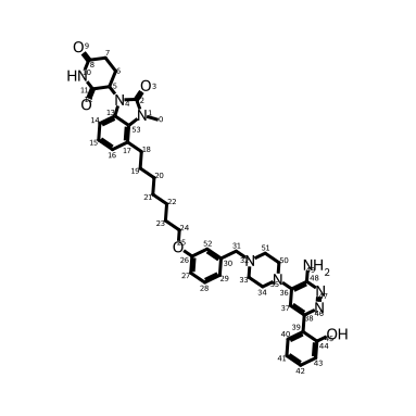 Cn1c(=O)n(C2CCC(=O)NC2=O)c2cccc(CCCCCCCOc3cccc(CN4CCN(c5cc(-c6ccccc6O)nnc5N)CC4)c3)c21